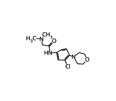 CN(C)CC(=O)Nc1ccc(N2CCOCC2)c(Cl)c1